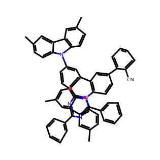 Cc1ccc2c(c1)c1cc(C)ccc1n2-c1ccc(-c2nc(-c3ccccc3)nc(-c3ccccc3)n2)c(-c2cc(-c3ccccc3C#N)ccc2-n2c3ccc(C)cc3c3cc(C)ccc32)c1